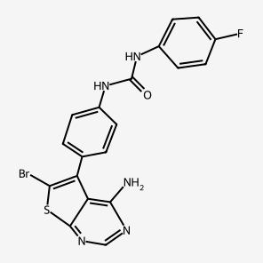 Nc1ncnc2sc(Br)c(-c3ccc(NC(=O)Nc4ccc(F)cc4)cc3)c12